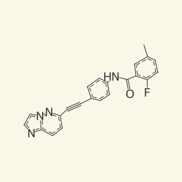 Cc1ccc(F)c(C(=O)Nc2ccc(C#Cc3ccc4nccn4n3)cc2)c1